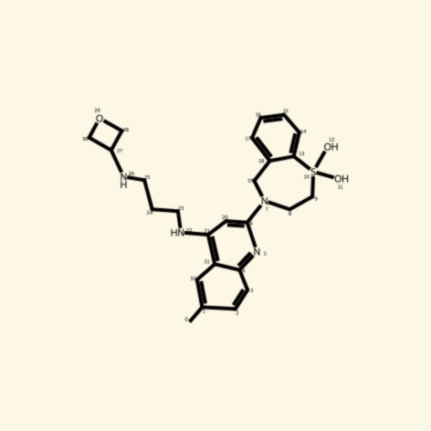 Cc1ccc2nc(N3CCS(O)(O)c4ccccc4C3)cc(NCCCNC3COC3)c2c1